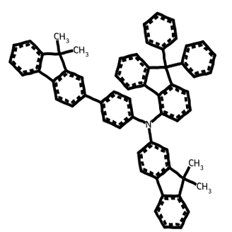 CC1(C)c2ccccc2-c2ccc(-c3ccc(N(c4ccc5c(c4)C(C)(C)c4ccccc4-5)c4cccc5c4-c4ccccc4C5(c4ccccc4)c4ccccc4)cc3)cc21